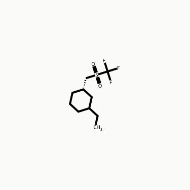 CCC1CCC[C@H](CS(=O)(=O)C(F)(F)F)C1